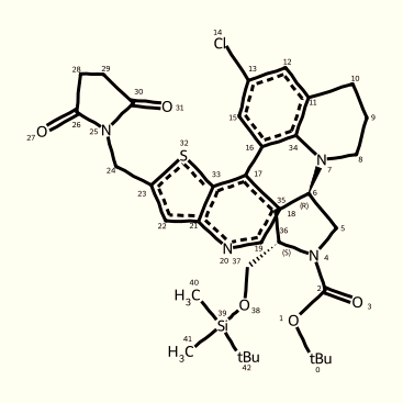 CC(C)(C)OC(=O)N1C[C@H](N2CCCc3cc(Cl)cc(-c4ccnc5cc(CN6C(=O)CCC6=O)sc45)c32)C[C@H]1CO[Si](C)(C)C(C)(C)C